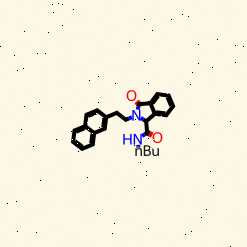 CCCCNC(=O)C1c2ccccc2C(=O)N1CCc1ccc2ccccc2c1